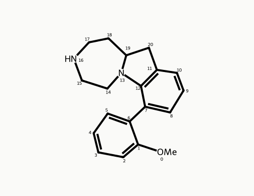 COc1ccccc1-c1cccc2c1N1CCNCCC1C2